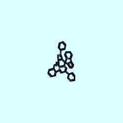 C1=CCC(c2cc3c4c(c2)C2(c5ccccc5-c5ccccc52)c2cc(-c5ccccc5)ccc2N4Cc2ccccc2-3)C=C1